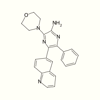 Nc1nc(-c2ccccc2)c(-c2ccc3ncccc3c2)nc1N1CCOCC1